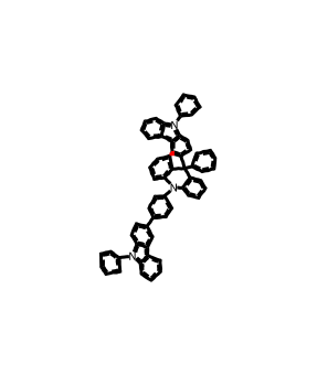 c1ccc(-n2c3ccccc3c3cc(-c4ccc(N5c6ccccc6C(c6ccccc6)(c6ccc7c(c6)c6ccccc6n7-c6ccccc6)c6ccccc65)cc4)ccc32)cc1